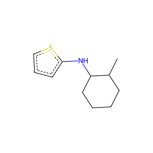 CC1CCCCC1Nc1cccs1